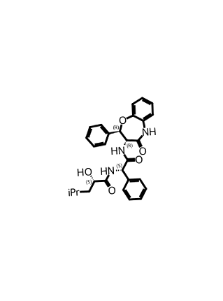 CC(C)C[C@H](O)C(=O)N[C@H](C(=O)N[C@H]1C(=O)Nc2ccccc2O[C@@H]1c1ccccc1)c1ccccc1